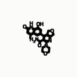 Cc1cc(=O)[nH]c2c(O)cc(-c3c4c(nc(N5CCOCC5)c3C(N)=O)COC4)cc12